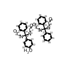 O.O=C=NC(N=C=O)(c1ccccc1)c1ccccc1.O=C=NC(N=C=O)(c1ccccc1)c1ccccc1